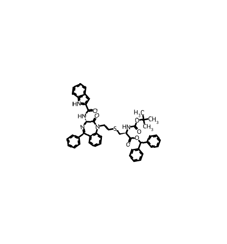 CC(C)(C)OC(=O)N[C@H](CSCCN1C(=O)[C@@H](NC(=O)c2cc3ccccc3[nH]2)N=C(c2ccccc2)c2ccccc21)C(=O)OC(c1ccccc1)c1ccccc1